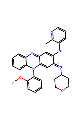 Cc1ncccc1Nc1cc2nc3ccccc3n(-c3ccccc3OC(F)(F)F)c-2c/c1=N\C1CCOCC1